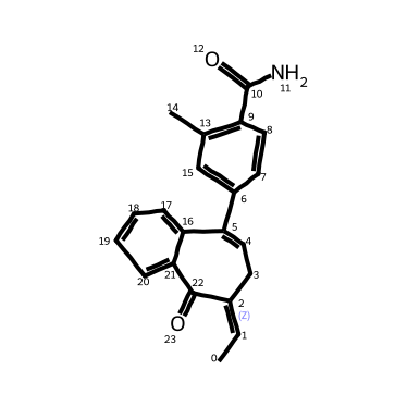 C/C=C1/CC=C(c2ccc(C(N)=O)c(C)c2)c2ccccc2C1=O